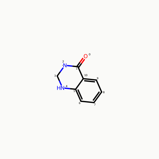 O=C1[N]CNc2ccccc21